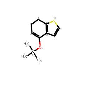 CC(C)(C)[Si](C)(C)OC1=CCCc2sccc21